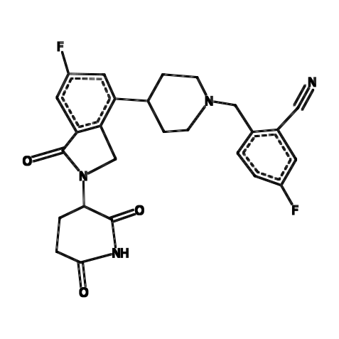 N#Cc1cc(F)ccc1CN1CCC(c2cc(F)cc3c2CN(C2CCC(=O)NC2=O)C3=O)CC1